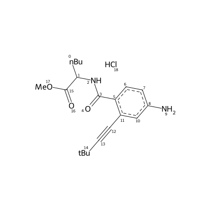 CCCCC(NC(=O)c1ccc(N)cc1C#CC(C)(C)C)C(=O)OC.Cl